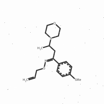 C=CCON=C(CC(C)N1CCOCC1)c1ccc(SC)cc1